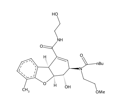 CCCCC(=O)N(CCOC)[C@@H]1C=C(C(=O)NCCO)[C@@H]2c3cccc(C)c3O[C@@H]2[C@H]1O